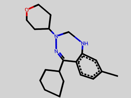 Cc1ccc2c(c1)NCN(C1CCOCC1)N=C2C1CCCCC1